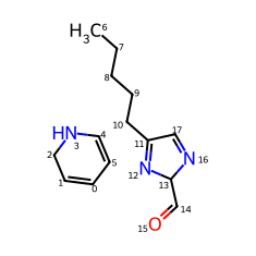 C1=CCNC=C1.CCCCCC1=NC(C=O)N=C1